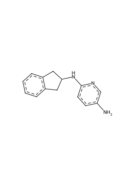 Nc1ccc(NC2Cc3ccccc3C2)nc1